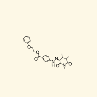 CC1C(=O)N(C)C(=O)/C(=N\Nc2ccc(C(=O)OCCOc3ccccc3)cc2)C1C